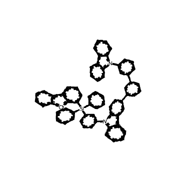 c1ccc([Si](c2ccccc2)(c2cccc(-n3c4ccccc4c4cc(-c5cccc(-c6cccc(-n7c8ccccc8c8ccccc87)c6)c5)ccc43)c2)c2cccc3c2oc2ccccc23)cc1